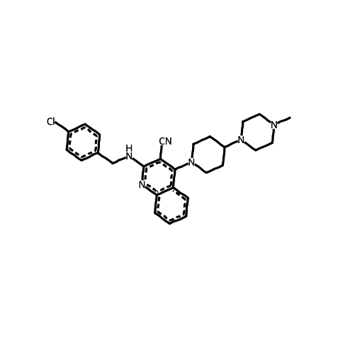 CN1CCN(C2CCN(c3c(C#N)c(NCc4ccc(Cl)cc4)nc4ccccc34)CC2)CC1